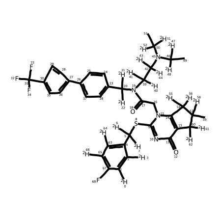 [2H]c1c([2H])c(C([2H])([2H])Sc2nc(=O)c3c(n2CC(=O)N(C([2H])([2H])c2ccc(-c4ccc(C(F)(F)F)cc4)cc2)C([2H])([2H])C([2H])([2H])N(C([2H])([2H])C)C([2H])([2H])C)C([2H])([2H])C([2H])(C)C3([2H])[2H])c([2H])c([2H])c1F